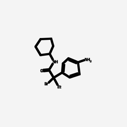 CCC(Br)(C(=O)NC1CCCCC1)c1ccc(N)cc1